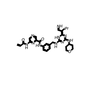 C=CC(=O)Nc1cncc(C(=O)Nc2cccc(CNC3=NC(NC4CCOCC4)=N/C(=C(/C=N)C(C)C)N3)c2)n1